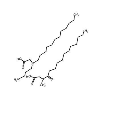 CCCCCCCCCCCC(=O)N(C)CC(=O)O.CCCCCCCCCCCCN(CCCN)CC(=O)O